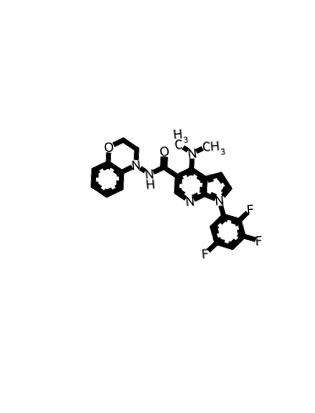 CN(C)c1c(C(=O)NN2CCOc3ccccc32)cnc2c1ccn2-c1cc(F)cc(F)c1F